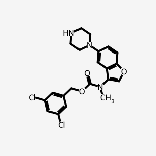 CN(C(=O)OCc1cc(Cl)cc(Cl)c1)c1coc2ccc(N3CCNCC3)cc12